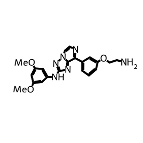 COc1cc(Nc2nc3c(-c4cccc(OCCN)c4)nccn3n2)cc(OC)c1